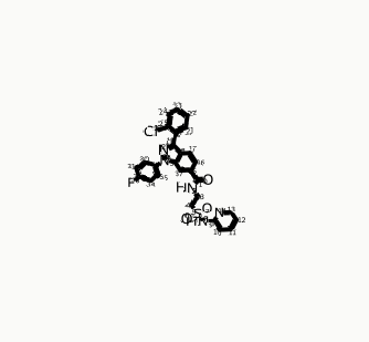 O=C(NCCS(=O)(=O)Nc1ccccn1)c1ccc2c(-c3ccccc3Cl)nn(-c3ccc(F)cc3)c2c1